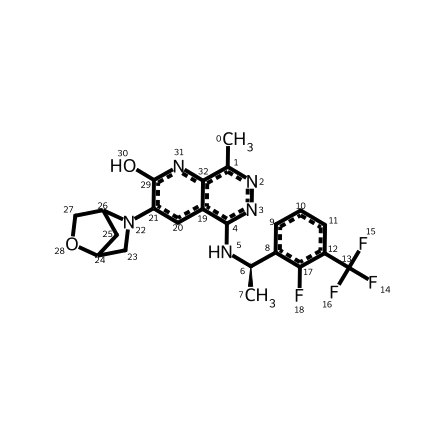 Cc1nnc(N[C@H](C)c2cccc(C(F)(F)F)c2F)c2cc(N3CC4CC3CO4)c(O)nc12